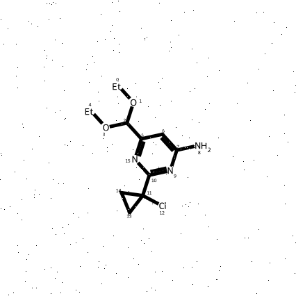 CCOC(OCC)c1cc(N)nc(C2(Cl)CC2)n1